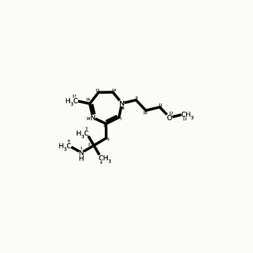 CNC(C)(C)CC1=CN(CCCOC)CCC(C)=N1